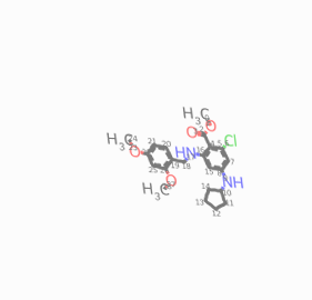 COC(=O)c1c(Cl)cc(NC2CCCC2)cc1NCc1ccc(OC)cc1OC